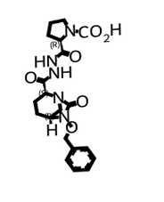 O=C(NNC(=O)[C@@H]1CC[C@@H]2CN1C(=O)N2OCc1ccccc1)[C@H]1CCCN1C(=O)O